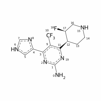 Nc1nc(-c2c[nH]cn2)c(C(F)(F)F)c([C@@H]2CCNC[C@@H]2F)n1